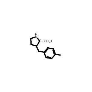 O=C(O)[C@H]1NCCC1Cc1ccc(I)cc1